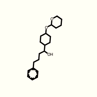 OC(CCCc1ccccc1)C1CCC(OC2CCCCO2)CC1